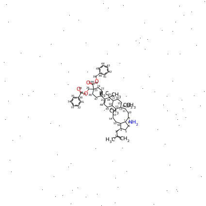 C=C(C)C[C@@H]1CC[C@]2(N)CC[C@@H](C)[C@]3(C)CCC4C(C)(C)C(C5=CCC(COC(=O)c6ccccc6)(C(=O)OCc6ccccc6)CC5)=CC[C@]4(C)C3CCCC12